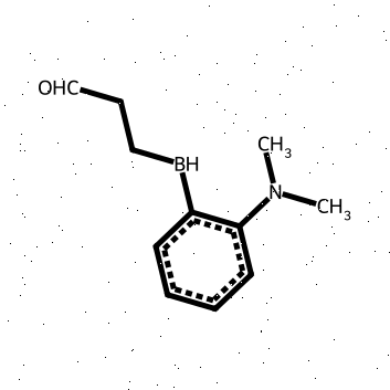 CN(C)c1ccccc1BCCC=O